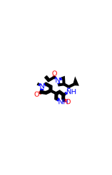 C=CC(=O)N1CC(C(Nc2cc(-c3ccn(C)c(=O)c3)c[nH]c2=O)C2CC2)C1